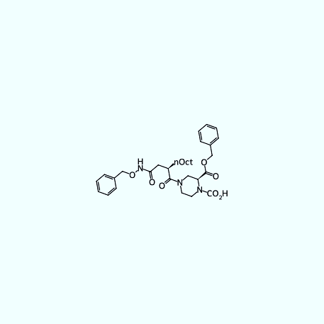 CCCCCCCC[C@H](CC(=O)NOCc1ccccc1)C(=O)N1CCN(C(=O)O)[C@H](C(=O)OCc2ccccc2)C1